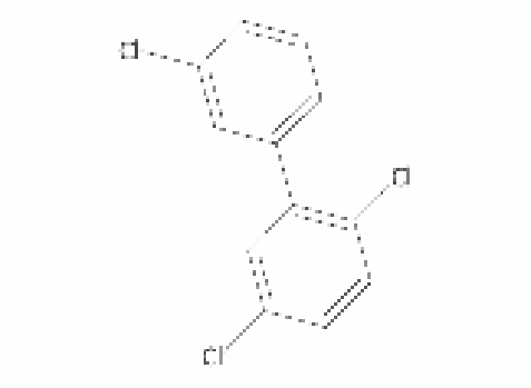 Clc1cccc(-c2cc(Cl)ccc2Cl)c1